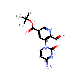 CC(C)(C)OC(=O)c1cnc(C=O)c(-n2ccc(N)nc2=O)c1